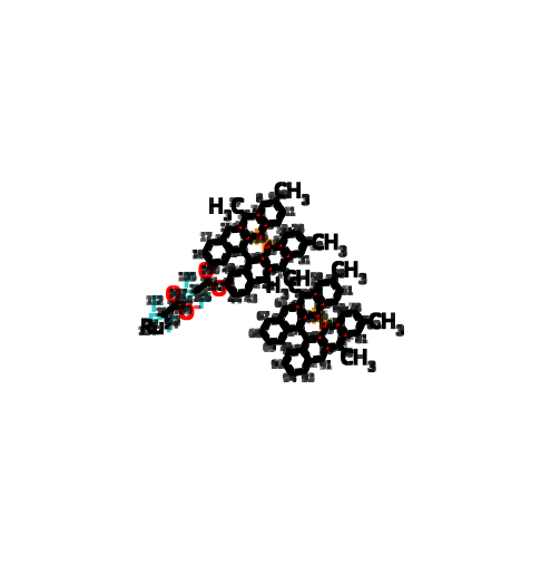 Cc1ccc(P(c2ccc(C)cc2)c2ccc3ccccc3c2-c2c(P(c3ccc(C)cc3)c3ccc(C)cc3)ccc3ccccc23)cc1.Cc1ccc(P(c2ccc(C)cc2)c2ccc3ccccc3c2-c2c(P(c3ccc(C)cc3)c3ccc(C)cc3)ccc3ccccc23)cc1.O=C([O-])C(F)(F)F.O=C([O-])C(F)(F)F.[Ru+2]